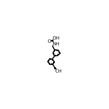 C#Cc1cccc(-c2cccc(CNC(=O)O)c2)c1